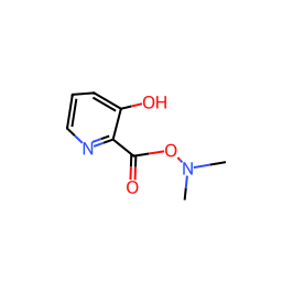 CN(C)OC(=O)c1ncccc1O